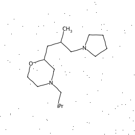 CC(C)CN1CCOC(CC(C)CN2CCCC2)C1